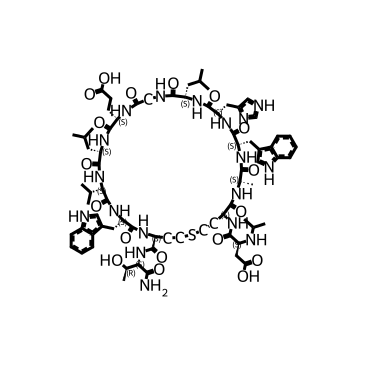 CC(C)C[C@@H]1NC(=O)[C@H](Cc2c[nH]cn2)NC(=O)[C@H](Cc2c[nH]c3ccccc23)NC(=O)[C@H](C)NC(=O)[C@@H](NC(=O)[C@H](CC(=O)O)NC(C)C)CCSCC[C@@H](C(=O)N[C@H](C(N)=O)[C@@H](C)O)NC(=O)[C@H](Cc2c[nH]c3ccccc23)NC(=O)[C@H](C(C)C)NC(=O)[C@H](CC(C)C)NC(=O)[C@H](CCC(=O)O)NC(=O)CNC1=O